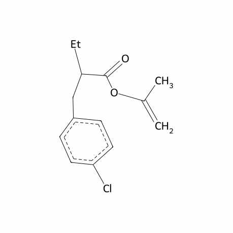 C=C(C)OC(=O)C(CC)Cc1ccc(Cl)cc1